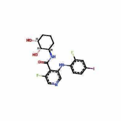 O=C(N[C@@H]1CCC[C@@H](O)[C@H]1O)c1c(F)cncc1Nc1ccc(I)cc1F